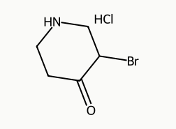 Cl.O=C1CCNCC1Br